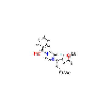 C=C(CC(F)/C(=C\COC)N1CCN(C(O)C2CCCCC2)CC1)OCC